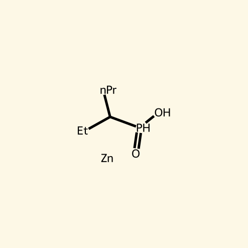 CCCC(CC)[PH](=O)O.[Zn]